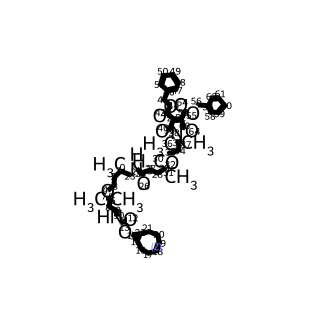 CC(CCOC(C)(C)CCNC(=O)OC1C2CC/C=C\CCC21)CNC(=O)CCC(C)(C)OCCC(C)(C)N1C(=O)C(C(=O)OCc2ccccc2)=C(C(=O)OCc2ccccc2)C1=O